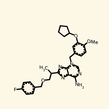 COc1ccc(Cn2cnc(N)c3nc(C(C)COCc4ccc(F)cc4)nc2-3)cc1OC1CCCC1